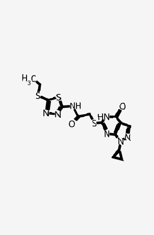 CCSc1nnc(NC(=O)CSc2nc3c(cnn3C3CC3)c(=O)[nH]2)s1